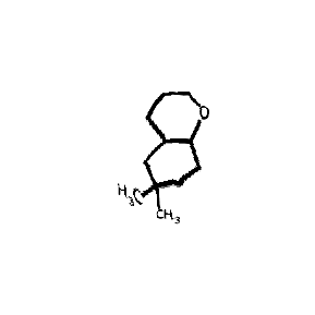 CC1(C)CCC2OCCCC2C1